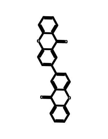 O=c1c2ccccc2oc2ccc(-c3ccc4oc5ccccc5c(=O)c4c3)cc12